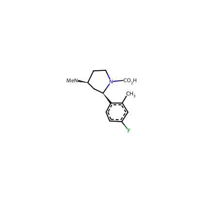 CN[C@H]1CCN(C(=O)O)[C@@H](c2ccc(F)cc2C)C1